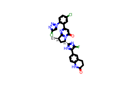 CC[C@@H]1C[C@@H](c2nc(F)c(-c3ccc4c(c3)CCC(=O)N4)[nH]2)n2c1nc(-c1cc(Cl)ccc1-n1cc(Cl)nn1)cc2=O